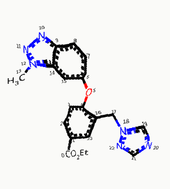 CCOC(=O)c1ccc(Oc2ccc3nnn(C)c3c2)c(Cn2cncn2)c1